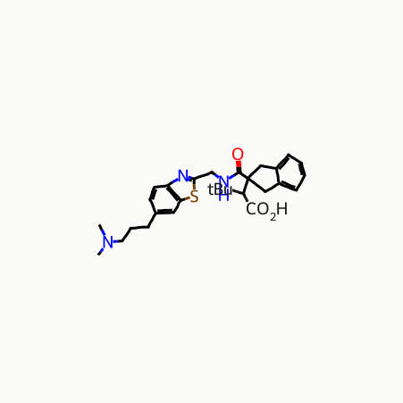 CN(C)CCCc1ccc2nc(CNC(=O)C3(C(C(=O)O)C(C)(C)C)Cc4ccccc4C3)sc2c1